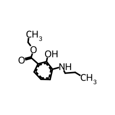 CCCNc1cccc(C(=O)OCC)c1O